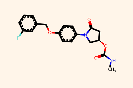 CNC(=O)O[C@@H]1CC(=O)N(c2ccc(OCc3cccc(F)c3)cc2)C1